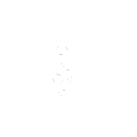 Cc1cc(NCc2ccc(Cl)cc2)c2cccc(C(N)=O)c2n1